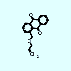 C=CCOCc1cccc2c1C(=O)c1ccccc1C2=O